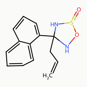 C=CCC1(c2cccc3ccccc23)NOS(=O)N1